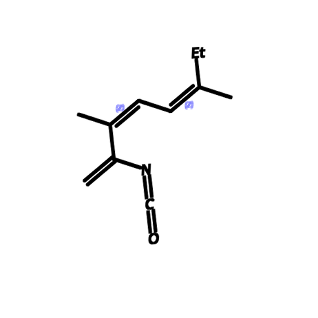 C=C(N=C=O)/C(C)=C\C=C(\C)CC